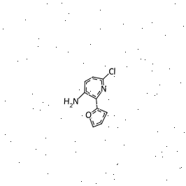 Nc1ccc(Cl)nc1-c1ccco1